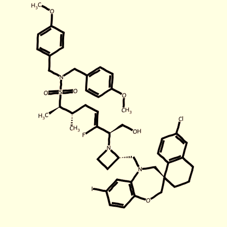 COc1ccc(CN(Cc2ccc(OC)cc2)S(=O)(=O)[C@H](C)[C@@H](C)C/C=C(\F)[C@@H](CO)N2CC[C@H]2CN2C[C@@]3(CCCc4cc(Cl)ccc43)COc3ccc(I)cc32)cc1